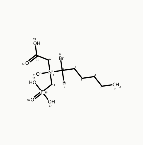 CCCCCC(Br)(Br)[N+]([O-])(CC(=O)O)CP(=O)(O)O